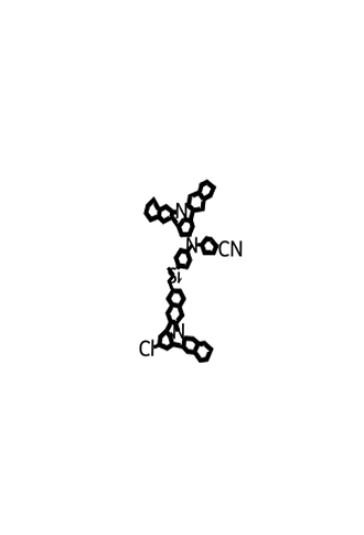 C[Si](C)(Cc1ccc2cc3c(cc2c1)c1cc(Cl)cc2c4cc5ccccc5cc4n3c21)c1ccc(N(c2ccc(C#N)cc2)c2cc3c4cc5ccccc5cc4n4c5cc6ccccc6cc5c(c2)c34)cc1